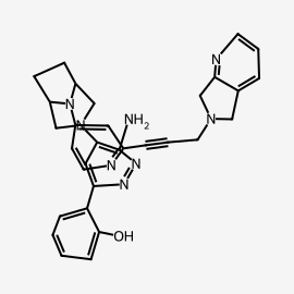 Nc1nnc(-c2ccccc2O)cc1N1CC2CCC(C1)N2c1ccnc(C#CCN2Cc3cccnc3C2)c1